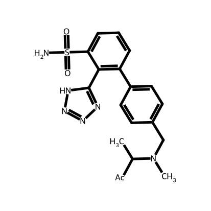 CC(=O)C(C)N(C)Cc1ccc(-c2cccc(S(N)(=O)=O)c2-c2nnn[nH]2)cc1